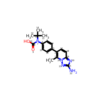 Cc1c(-c2ccc(N(C(=O)O)C(C)(C)C)cc2)ccc2nc(N)nn12